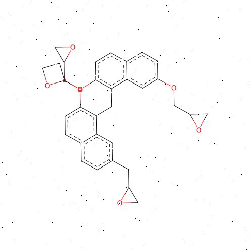 c1cc2ccc(OCC3CO3)c(Cc3c(OC4CCO4)ccc4ccc(OCC5CO5)cc34)c2cc1CC1CO1